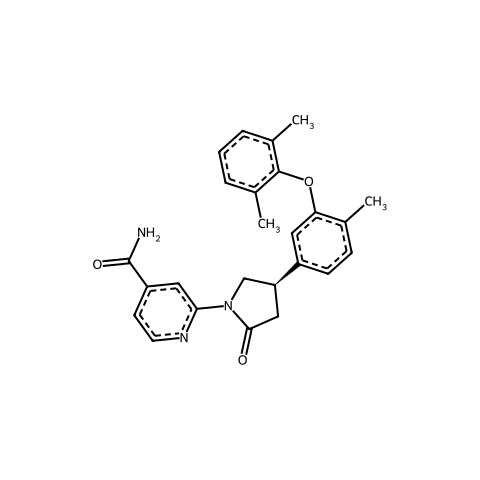 Cc1ccc([C@H]2CC(=O)N(c3cc(C(N)=O)ccn3)C2)cc1Oc1c(C)cccc1C